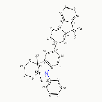 CC1(C)c2ccccc2-c2ccc(-c3ccc4c(c3)C3(C)CCCCC3(C)N4c3ccccc3)cc21